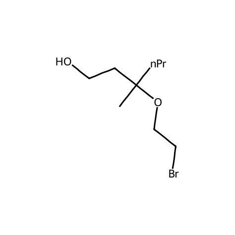 CCCC(C)(CCO)OCCBr